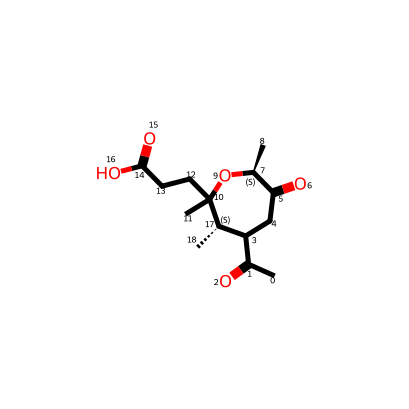 CC(=O)C1CC(=O)[C@H](C)OC(C)(CCC(=O)O)[C@H]1C